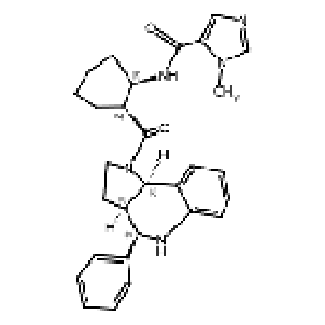 Cn1cncc1C(=O)N[C@@H]1CCCC[C@@H]1C(=O)N1CC[C@@H]2[C@H](c3ccccc3)Nc3ccccc3[C@@H]21